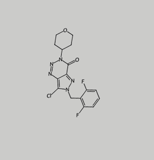 O=c1c2nn(Cc3c(F)cccc3F)c(Cl)c2nnn1C1CCOCC1